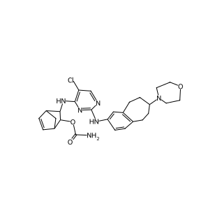 NC(=O)OC1C2C=CC(C2)C1Nc1nc(Nc2ccc3c(c2)CCC(N2CCOCC2)CC3)ncc1Cl